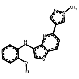 CCOc1ccccc1Nc1csc2ccc(-c3cnn(C)c3)nc12